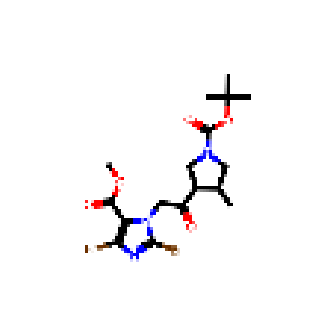 COC(=O)c1c(Br)nc(Br)n1CC(=O)C1CN(C(=O)OC(C)(C)C)CC1C